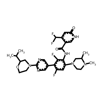 CC(C)C1CN(c2ncc(-c3c(F)cc(N4CCN(C)C(C)C4)c(NC(=O)c4c[nH]c(=O)cc4C(F)F)c3F)cn2)CCO1